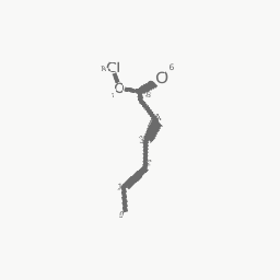 C/C=C/C=C/C(=O)OCl